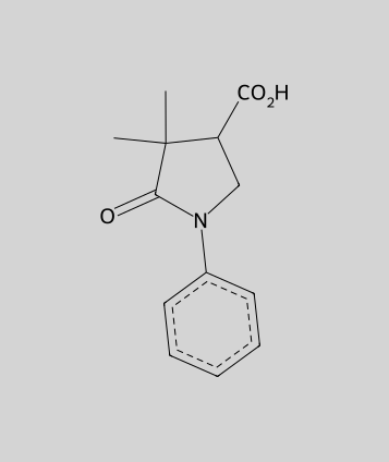 CC1(C)C(=O)N(c2ccccc2)CC1C(=O)O